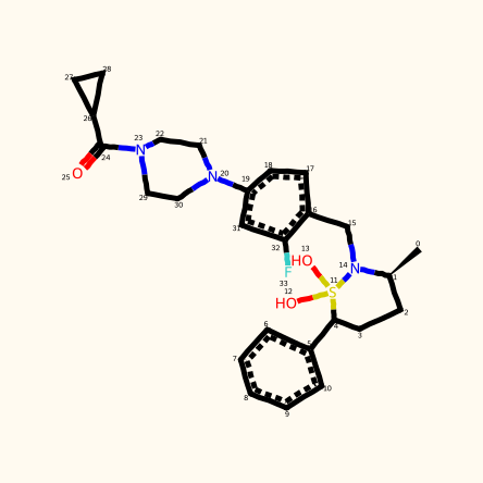 C[C@H]1CCC(c2ccccc2)S(O)(O)N1Cc1ccc(N2CCN(C(=O)C3CC3)CC2)cc1F